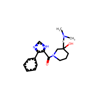 CN(C)CC1(O)CCCN(C(=O)c2[nH]cnc2-c2ccccc2)C1